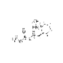 CN[C@@H]1CCCC[C@H]1CNCC(=O)OC